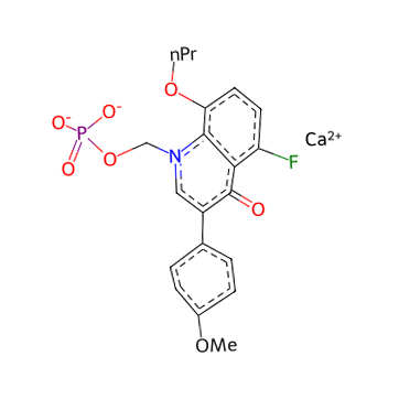 CCCOc1ccc(F)c2c(=O)c(-c3ccc(OC)cc3)cn(COP(=O)([O-])[O-])c12.[Ca+2]